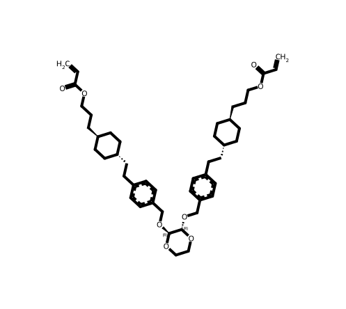 C=CC(=O)OCCC[C@H]1CC[C@H](CCc2ccc(CO[C@@H]3OCCO[C@H]3OCc3ccc(CC[C@H]4CC[C@H](CCCOC(=O)C=C)CC4)cc3)cc2)CC1